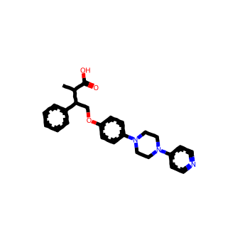 CC(C(=O)O)C(COc1ccc(N2CCN(c3ccncc3)CC2)cc1)c1ccccc1